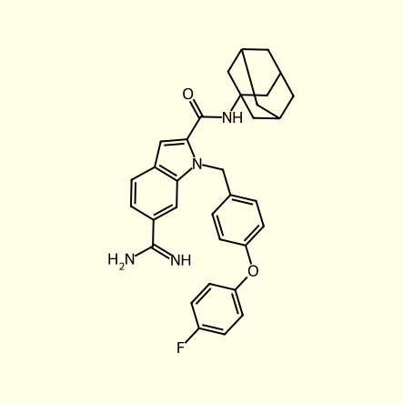 N=C(N)c1ccc2cc(C(=O)NC34CC5CC(CC(C5)C3)C4)n(Cc3ccc(Oc4ccc(F)cc4)cc3)c2c1